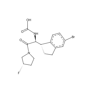 O=C(O)N[C@H](C(=O)N1CC[C@H](F)C1)[C@H]1CCc2cc(Br)ccc21